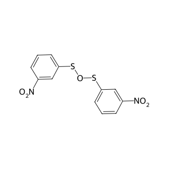 O=[N+]([O-])c1cccc(SOSc2cccc([N+](=O)[O-])c2)c1